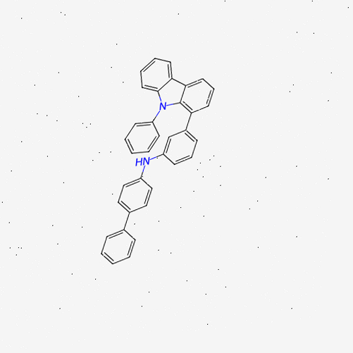 c1ccc(-c2ccc(Nc3cccc(-c4cccc5c6ccccc6n(-c6ccccc6)c45)c3)cc2)cc1